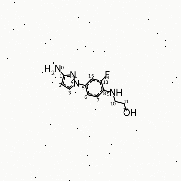 Nc1ccn(-c2ccc(NCCO)c(F)c2)n1